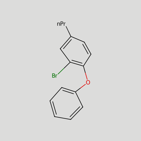 CCCc1ccc(Oc2ccccc2)c(Br)c1